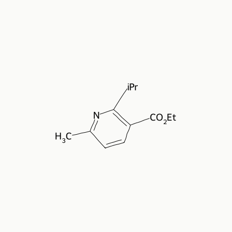 CCOC(=O)c1ccc(C)nc1C(C)C